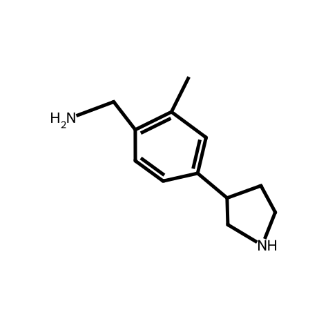 Cc1cc(C2CCNC2)ccc1CN